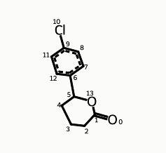 O=C1CCCC(c2ccc(Cl)cc2)O1